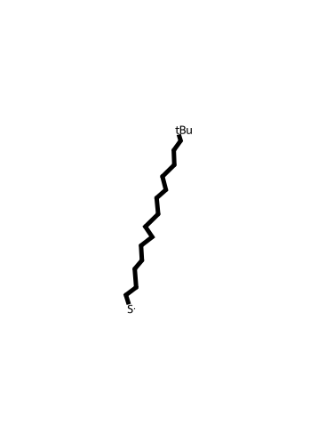 CC(C)(C)CCCCCCCCCCCCCC[S]